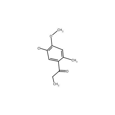 CCC(=O)c1cc(Cl)c(OC)cc1C